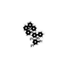 CC(C)c1cc(C(C)C)c(B2Sc3ccccc3-c3cc(N4c5ccccc5[Si](c5ccccc5)(c5ccccc5)c5ccccc54)ccc32)c(C(C)C)c1